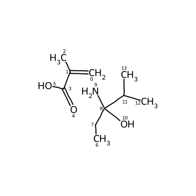 C=C(C)C(=O)O.CCC(N)(O)C(C)C